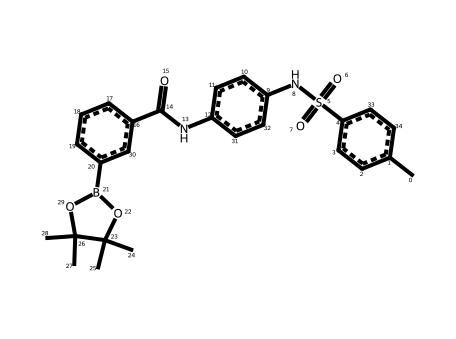 Cc1ccc(S(=O)(=O)Nc2ccc(NC(=O)c3cccc(B4OC(C)(C)C(C)(C)O4)c3)cc2)cc1